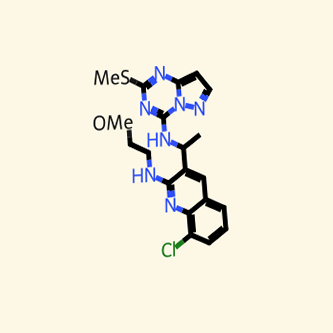 COCCNc1nc2c(Cl)cccc2cc1C(C)Nc1nc(SC)nc2ccnn12